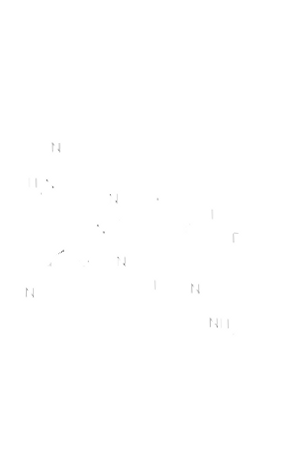 Cc1cc(N)nc(-c2c(Cl)c3c4c(nc(OC[C@@H]5CCCN(C)C5)nc4c2F)N([C@H](C)c2cccnc2N)CCO3)c1C(F)(F)F